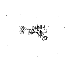 CS(=O)(=O)OCCn1ncc2c1nc(N)n1nc(-c3ccco3)nc21